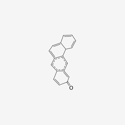 O=C1C=Cc2cc3c(cc2=C1)C1C=CC=CC1=CC=3